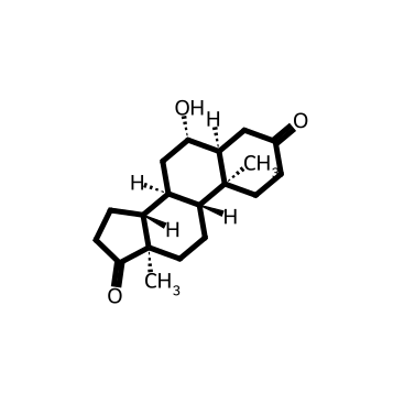 C[C@@]12CCC(=O)C[C@@H]1[C@@H](O)C[C@H]1[C@H]2CC[C@@]2(C)C(=O)CC[C@H]12